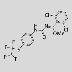 COC(=NC(=O)Nc1ccc(SC(F)(F)C(F)F)cc1)c1c(Cl)cccc1Cl